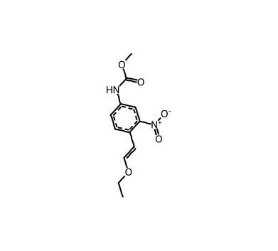 CCOC=Cc1ccc(NC(=O)OC)cc1[N+](=O)[O-]